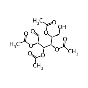 CC(=O)O[C@H]([C@H](OC(C)=O)[C@H](CO)OC(C)=O)[C@H](C=O)OC(C)=O